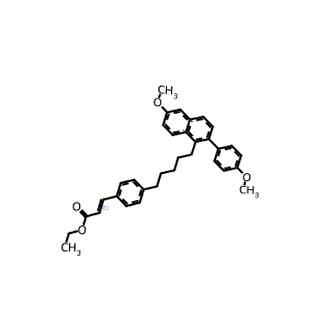 CCOC(=O)/C=C/c1ccc(CCCCCc2c(-c3ccc(OC)cc3)ccc3cc(OC)ccc23)cc1